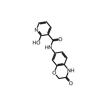 O=C1COc2cc(NC(=O)c3cccnc3O)ccc2N1